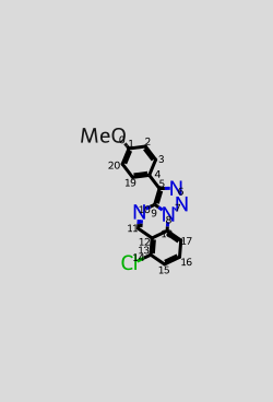 COc1ccc(-c2nnn3c2ncc2c(Cl)cccc23)cc1